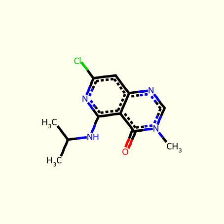 CC(C)Nc1nc(Cl)cc2ncn(C)c(=O)c12